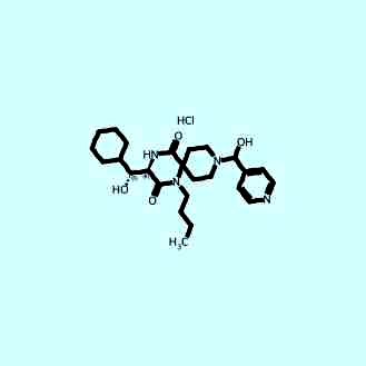 CCCCN1C(=O)[C@@H]([C@H](O)C2CCCCC2)NC(=O)C12CCN(C(O)c1ccncc1)CC2.Cl